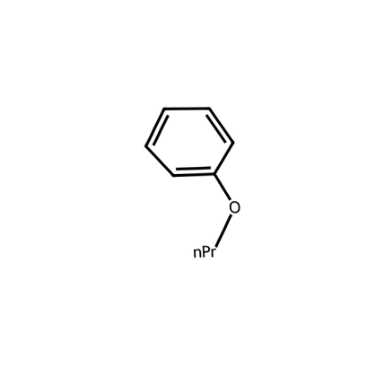 [CH]CCOc1ccccc1